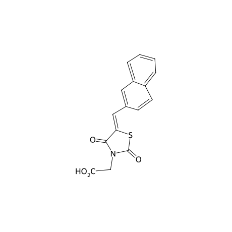 O=C(O)CN1C(=O)S/C(=C\c2ccc3ccccc3c2)C1=O